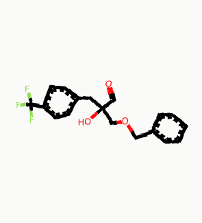 O=CC(O)(COCc1ccccc1)Cc1ccc(C(F)(F)F)cc1